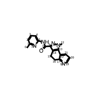 Cc1cccc(NC(=O)c2nn(C)c3c2CCc2ncccc2-3)n1